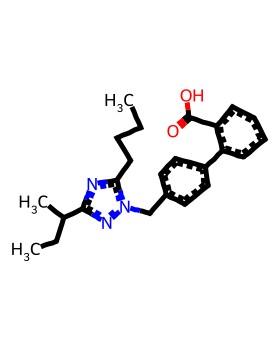 CCCCc1nc(C(C)CC)nn1Cc1ccc(-c2ccccc2C(=O)O)cc1